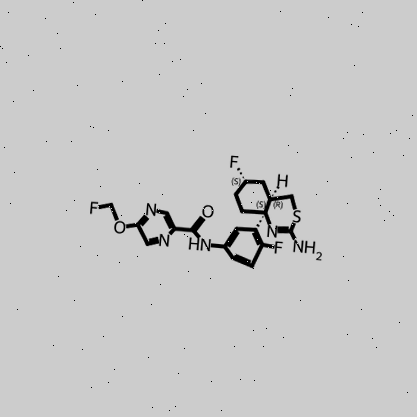 NC1=N[C@@]2(c3cc(NC(=O)c4cnc(OCF)cn4)ccc3F)CC[C@H](F)C[C@H]2CS1